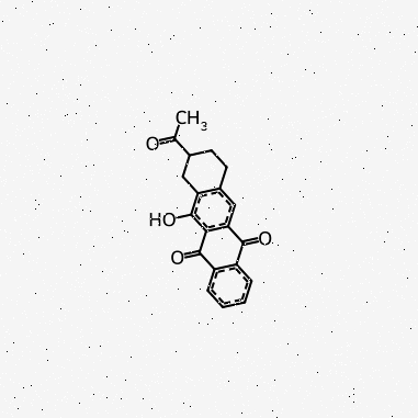 CC(=O)C1CCc2cc3c(c(O)c2C1)C(=O)c1ccccc1C3=O